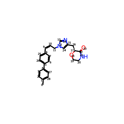 Cc1ccc(-c2ccc(/C=C\Cn3cnc(C[C@@H]4OCCNC4=O)c3)cc2)cc1